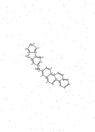 c1ccc2c(c1)ccc1c3ccc(Nc4cnc5c(c4)oc4ccccc45)cc3ccc21